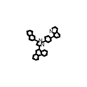 c1ccc2cc(-c3cc(-c4cc5ccccc5c5ccccc45)nc(-c4ccc(-c5cccc6cccnc56)cc4)n3)ccc2c1